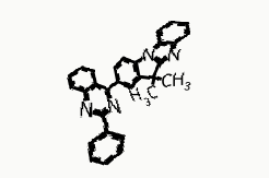 CC1(C)c2cc(-c3nc(-c4ccccc4)nc4ccccc34)ccc2-n2c1nc1ccccc12